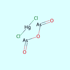 O=[As]O[As]=O.[Cl][Hg][Cl]